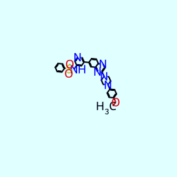 COc1ccc(N2CCN(c3cnc4ccc(-c5cncc(NS(=O)(=O)c6ccccc6)c5)cc4n3)CC2)cc1